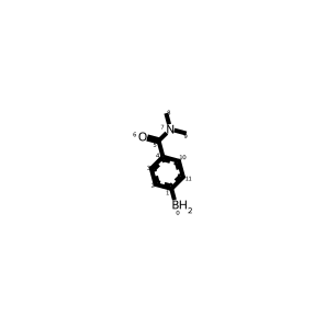 Bc1ccc(C(=O)N(C)C)cc1